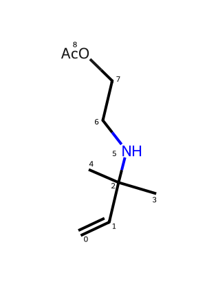 C=CC(C)(C)NCCOC(C)=O